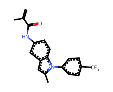 C=C(C)C(=O)Nc1ccc2c(c1)cc(C)n2-c1ccc(C(F)(F)F)cc1